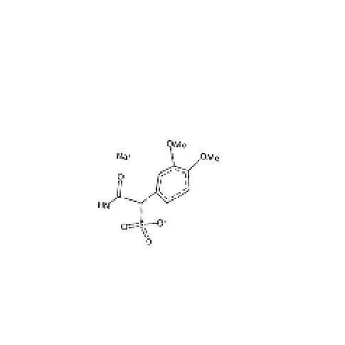 COc1ccc(C(C([NH])=O)S(=O)(=O)[O-])cc1OC.[Na+]